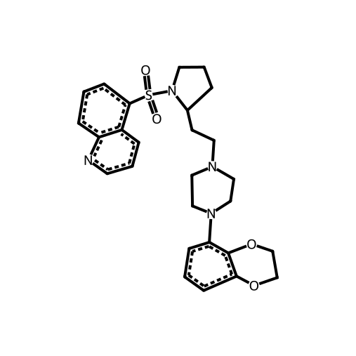 O=S(=O)(c1cccc2ncccc12)N1CCCC1CCN1CCN(c2cccc3c2OCCO3)CC1